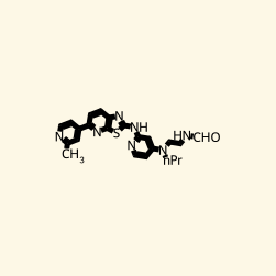 CCCN(CCNC=O)c1ccnc(Nc2nc3ccc(-c4ccnc(C)c4)nc3s2)c1